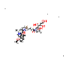 Cc1ccc(SCCCCC(=O)N(C)CC(O)C(O)C(O)CCO)nc1COC1(c2cnccc2-c2ccccc2OC2CC2)CC1